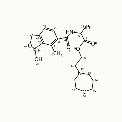 Cc1c(C(=O)NC(C(=O)OCCN2CCCOCC2)C(C)C)ccc2c1B(O)OC2